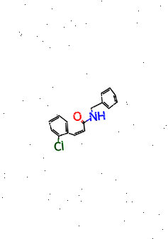 O=C(/C=C\c1ccccc1Cl)NCc1ccccc1